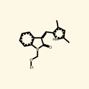 CCOCN1C(=O)/C(=C\c2[nH]c(C)cc2C)c2ccccc21